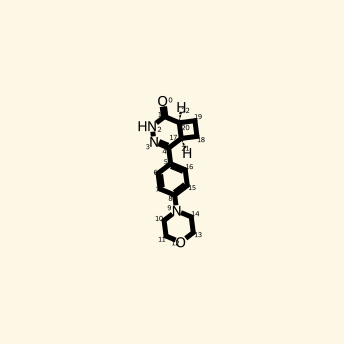 O=C1NN=C(c2ccc(N3CCOCC3)cc2)[C@@H]2CC[C@H]12